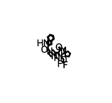 CN(C(=O)c1cnn2c1CN(C(=O)c1cc3ccccc3[nH]1)CC2)C1(CCOC(F)F)CCCC1